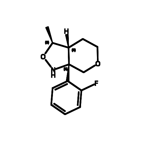 C[C@@H]1ON[C@@]2(c3ccccc3F)COCC[C@@H]12